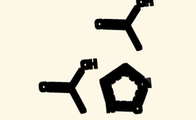 CC(=O)O.CC(=O)O.c1cnon1